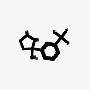 NC1(c2cccc(C(F)(F)F)c2)CCNN1